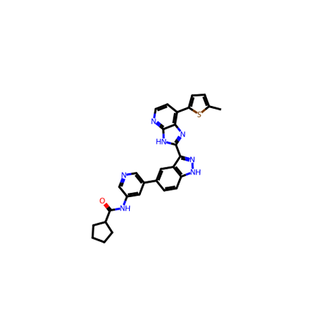 Cc1ccc(-c2ccnc3[nH]c(-c4n[nH]c5ccc(-c6cncc(NC(=O)C7CCCC7)c6)cc45)nc23)s1